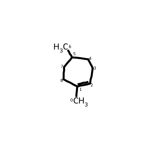 CC1=CCCC(C)CC1